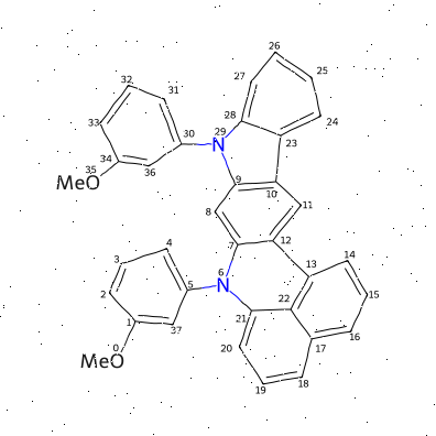 COc1cccc(N2c3cc4c(cc3-c3cccc5cccc2c35)c2ccccc2n4-c2cccc(OC)c2)c1